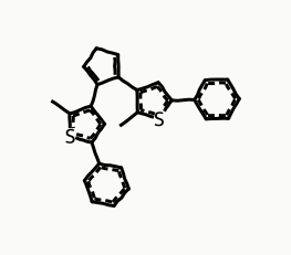 Cc1sc(-c2ccccc2)cc1C1=CCC=C1c1cc(-c2ccccc2)sc1C